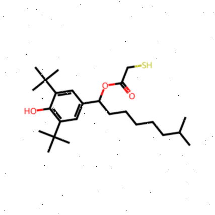 CC(C)CCCCCC(OC(=O)CS)c1cc(C(C)(C)C)c(O)c(C(C)(C)C)c1